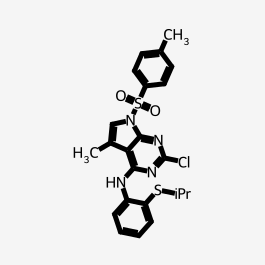 Cc1ccc(S(=O)(=O)n2cc(C)c3c(Nc4ccccc4SC(C)C)nc(Cl)nc32)cc1